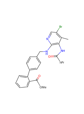 CCCC(=O)Nc1c(NCc2ccc(-c3ccccc3C(=O)OC)cc2)ncc(Br)c1C